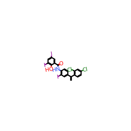 C=C(c1ccc(NC(=O)c2cc(I)cc(I)c2O)c(I)c1)c1ccc(Cl)cc1Cl